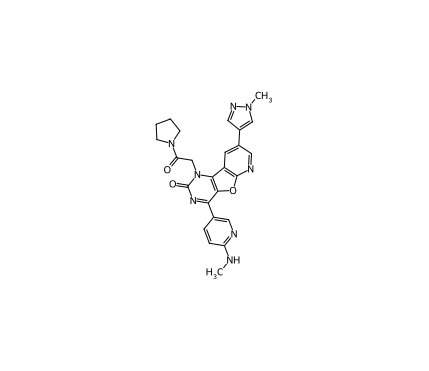 CNc1ccc(-c2nc(=O)n(CC(=O)N3CCCC3)c3c2oc2ncc(-c4cnn(C)c4)cc23)cn1